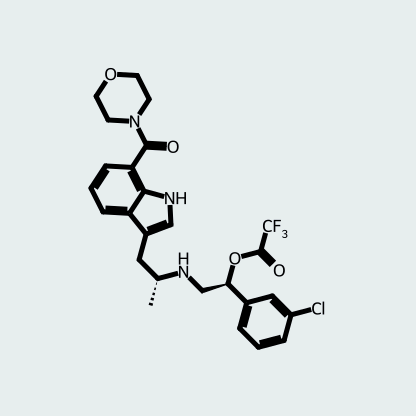 C[C@H](Cc1c[nH]c2c(C(=O)N3CCOCC3)cccc12)NC[C@@H](OC(=O)C(F)(F)F)c1cccc(Cl)c1